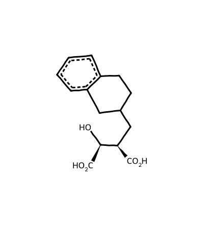 O=C(O)[C@@H](O)[C@@H](CC1CCc2ccccc2C1)C(=O)O